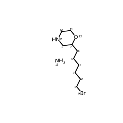 BrCCCCCCC1CNCCO1.N